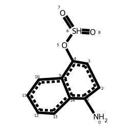 Nc1ccc(O[SH](=O)=O)c2ccccc12